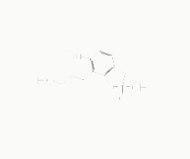 CC1(C)Cc2ccc(C(C)(C)C)c(CCCO)c2O1